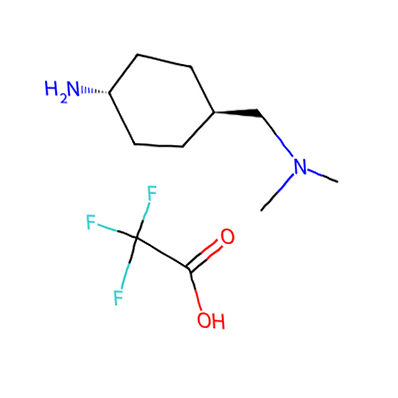 CN(C)C[C@H]1CC[C@H](N)CC1.O=C(O)C(F)(F)F